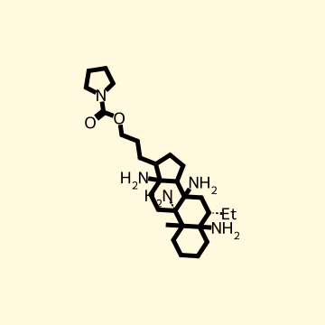 CC[C@H]1CC2(N)C3CCC(CCCOC(=O)N4CCCC4)C3(N)CC[C@]2(N)C2(C)CCCCC12N